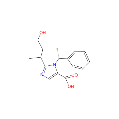 CC(CCO)c1ncc(C(=O)O)n1[C@H](C)c1ccccc1